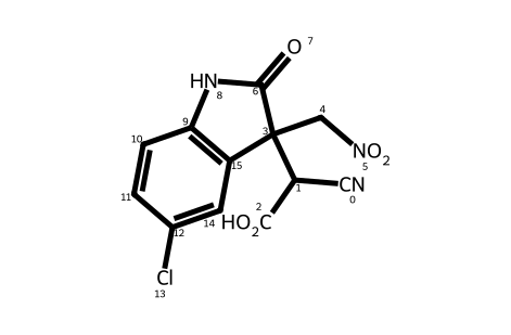 N#CC(C(=O)O)C1(C[N+](=O)[O-])C(=O)Nc2ccc(Cl)cc21